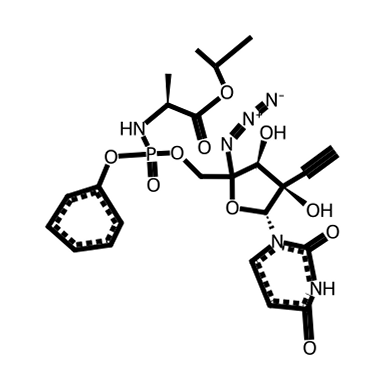 C#C[C@@]1(O)[C@H](O)C(COP(=O)(N[C@@H](C)C(=O)OC(C)C)Oc2ccccc2)(N=[N+]=[N-])O[C@H]1n1ccc(=O)[nH]c1=O